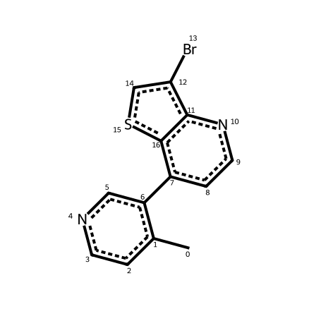 Cc1ccncc1-c1ccnc2c(Br)csc12